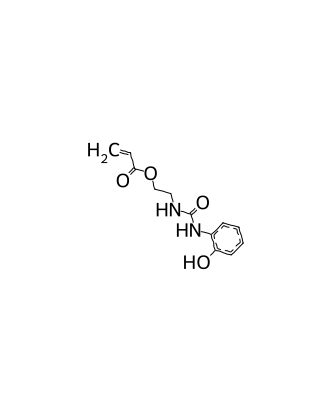 C=CC(=O)OCCNC(=O)Nc1ccccc1O